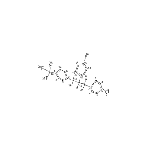 CC(C)(c1ccc(Cl)cc1)C(C)(c1ccc(F)cc1)C(C)(C)c1ccc(C(F)(F)F)cc1